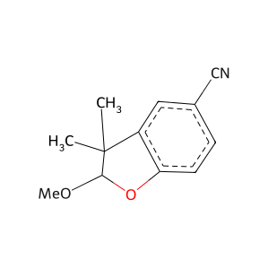 COC1Oc2ccc(C#N)cc2C1(C)C